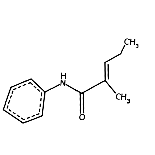 CCC=C(C)C(=O)Nc1ccccc1